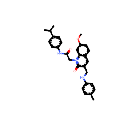 COc1ccc2cc(CNc3ccc(C)cc3)c(=O)n(CC(=O)Nc3ccc(C(C)C)cc3)c2c1